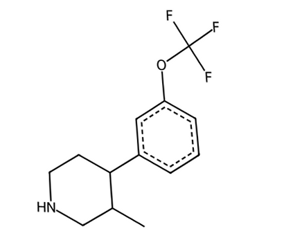 CC1CNCCC1c1cccc(OC(F)(F)F)c1